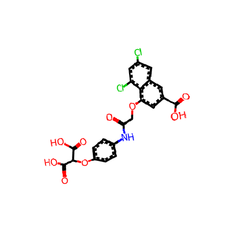 O=C(COc1cc(C(=O)O)cc2cc(Cl)cc(Cl)c12)Nc1ccc(OC(C(=O)O)C(=O)O)cc1